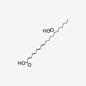 CCCCCCC(CCCCC=CC=CC=CC=CC(=O)O)OO